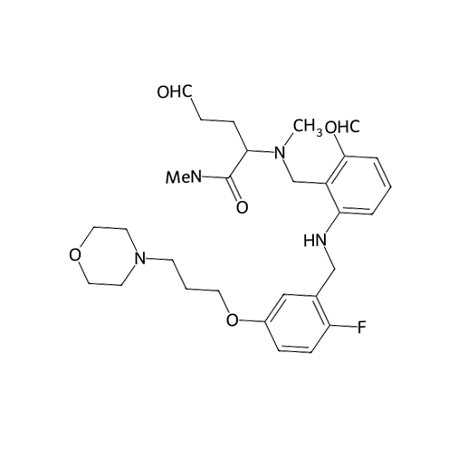 CNC(=O)C(CCC=O)N(C)Cc1c(C=O)cccc1NCc1cc(OCCCN2CCOCC2)ccc1F